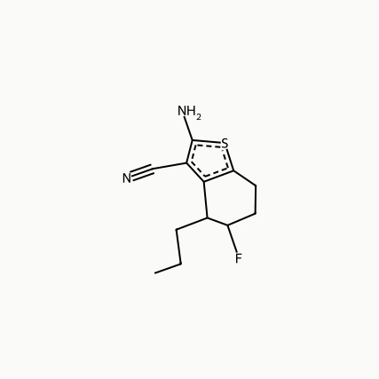 CCCC1c2c(sc(N)c2C#N)CCC1F